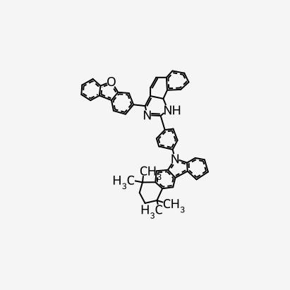 CC1(C)CCC(C)(C)c2cc3c(cc21)c1ccccc1n3-c1ccc(C2=NC(c3ccc4c(c3)oc3ccccc34)=C3C=Cc4ccccc4C3N2)cc1